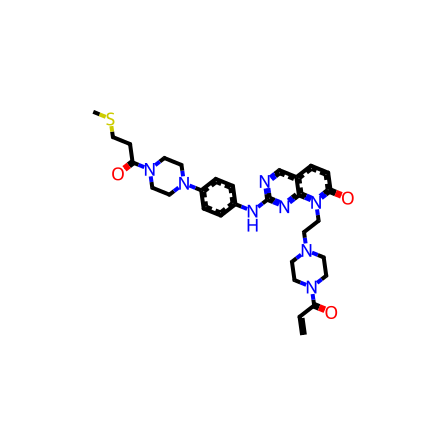 C=CC(=O)N1CCN(CCn2c(=O)ccc3cnc(Nc4ccc(N5CCN(C(=O)CCSC)CC5)cc4)nc32)CC1